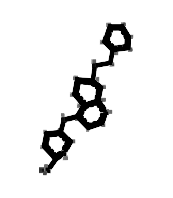 Nc1ccc(Oc2ccnc3cc(OCc4ccccc4)ccc23)cn1